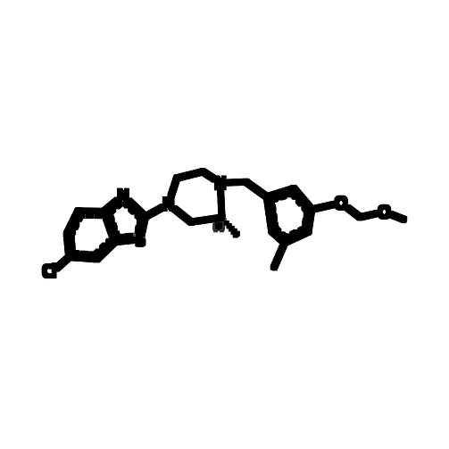 COCOc1cc(C)cc(CN2CCN(c3nc4ccc(Cl)cc4s3)C[C@H]2C)c1